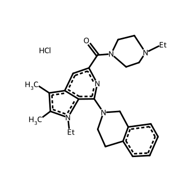 CCN1CCN(C(=O)c2cc3c(C)c(C)n(CC)c3c(N3CCc4ccccc4C3)n2)CC1.Cl